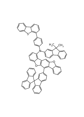 CC1(C)c2ccccc2-c2ccc(N(c3ccc(-c4cccc5c4sc4ccccc45)cc3)c3cccc4oc5c(-c6ccc7c(c6)C6(c8ccccc8-c8ccccc86)c6ccccc6-7)c6c(cc5c34)oc3ccccc36)cc21